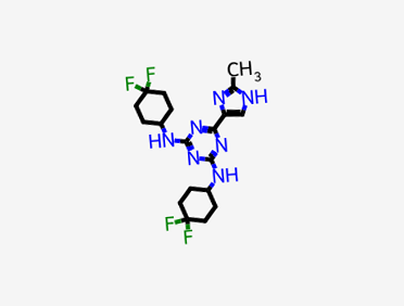 Cc1nc(-c2nc(NC3CCC(F)(F)CC3)nc(NC3CCC(F)(F)CC3)n2)c[nH]1